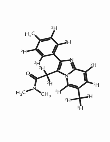 [2H]c1c([2H])c(-c2nc3c([2H])c([2H])c(C([2H])([2H])[2H])c([2H])n3c2C([2H])([2H])C(=O)N(C)C)c([2H])c([2H])c1C